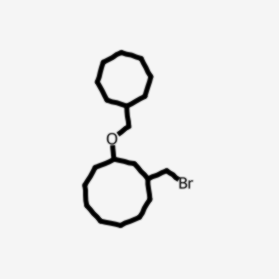 BrCC1CCCCCCCC(OCC2CCCCCCC2)C1